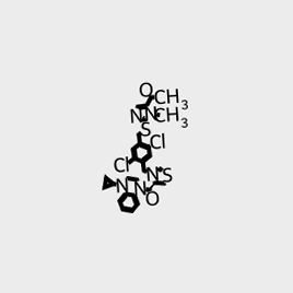 CC(=O)c1cnc(SCc2cc(Cl)c(CN3CSC[C@H]3C(=O)N3CCN(C4CC4)c4ccccc43)cc2Cl)n1C